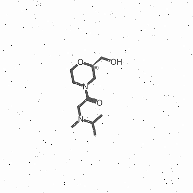 CC(C)N(C)CC(=O)N1CCO[C@@H](CO)C1